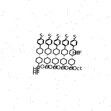 CCCCCCCC[C@H]1CC[C@H](C2CCC(c3ccc([S])cc3)CC2)CC1.CCCCCCCC[C@H]1CC[C@H](C2CCC(c3ccc([S])cc3)CC2)CC1.CCCCCCCC[C@H]1CC[C@H](C2CCC(c3ccc([S])cc3)CC2)CC1.CCCCCCCC[C@H]1CC[C@H](C2CCC(c3ccc([S])cc3)CC2)CC1.CCCCCCCC[C@H]1CC[C@H](C2CCC(c3ccc([S])cc3)CC2)CC1.F.F.F.F.F